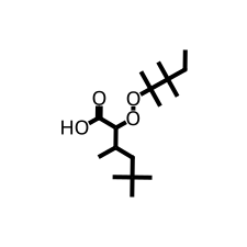 CCC(C)(C)C(C)(C)OOC(C(=O)O)C(C)CC(C)(C)C